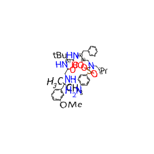 COc1cccc(C(C)(C)NCC(=O)N[C@H](C(=O)N[C@@H](Cc2ccccc2)[C@H](O)CN(CC(C)C)S(=O)(=O)c2ccc(N)cc2)C(C)(C)C)c1